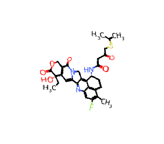 CC[C@@]1(O)C(=O)OCc2c1cc1n(c2=O)Cc2c-1nc1cc(F)c(C)c3c1c2[C@@H](NC(=O)CC(=O)CSC(C)C)CC3